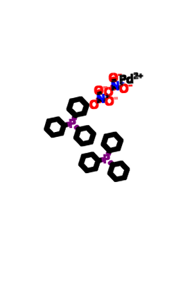 C1CCC(P(C2CCCCC2)C2CCCCC2)CC1.C1CCC(P(C2CCCCC2)C2CCCCC2)CC1.O=[N+]([O-])[O-].O=[N+]([O-])[O-].[Pd+2]